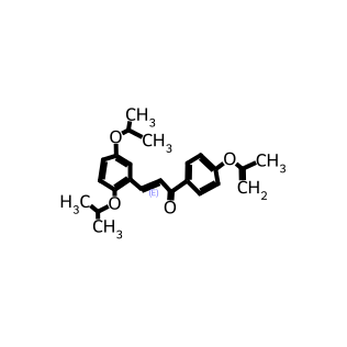 C=C(C)Oc1ccc(C(=O)/C=C/c2cc(OC(C)C)ccc2OC(C)C)cc1